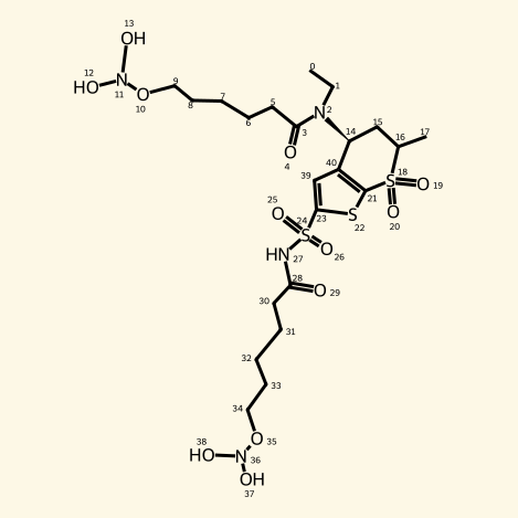 CCN(C(=O)CCCCCON(O)O)[C@H]1CC(C)S(=O)(=O)c2sc(S(=O)(=O)NC(=O)CCCCCON(O)O)cc21